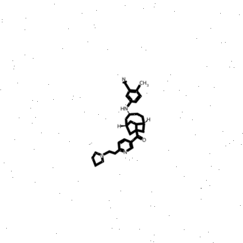 Cc1ccc(N[C@@H]2CC[C@H]3CC4(C(=O)c5ccc(CCN6CCCC6)nc5)C[C@@H](CC34)C2)cc1C#N